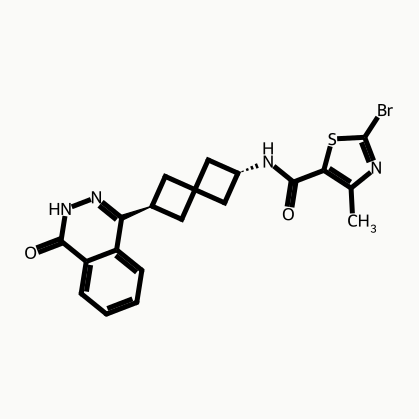 Cc1nc(Br)sc1C(=O)N[C@H]1CC2(C1)C[C@H](c1n[nH]c(=O)c3ccccc31)C2